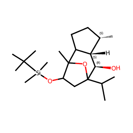 CC(C)C12CC(O[Si](C)(C)C(C)(C)C)C(C)(O1)C1CC[C@H](C)[C@@H]1[C@H]2O